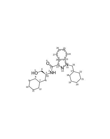 O=C(N[C@H](CO)CC1CCCCC1)c1nn(CC2CCCCC2)c2ccccc12